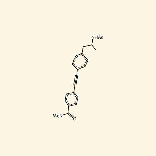 CNC(=O)c1ccc(C#Cc2ccc(CC(C)NC(C)=O)cc2)cc1